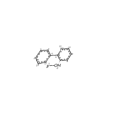 [OH][Ir].c1ccc(-c2ccccn2)cc1